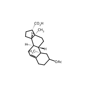 CC(=O)OC1CCC2=CC[C@H]3[C@@H]4CC[C@H](C(=O)O)[C@@]4(C)CC[C@@H]3[C@@]2(C)C1